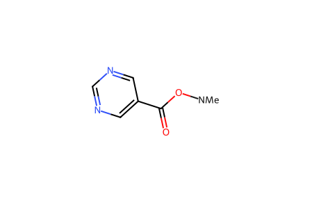 CNOC(=O)c1cncnc1